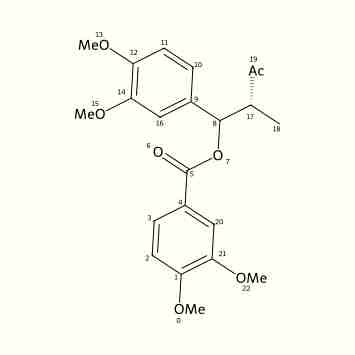 COc1ccc(C(=O)OC(c2ccc(OC)c(OC)c2)[C@@H](C)C(C)=O)cc1OC